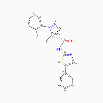 Cc1ccccc1-n1ncc(C(=O)Nc2ncc(-c3ccccc3)s2)c1C